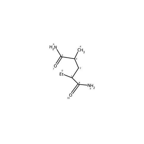 [CH2]CC(CC(C)C(N)=O)C(N)=O